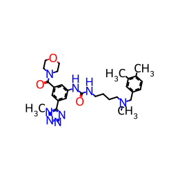 Cc1ccc(CN(C)CCCCNC(=O)Nc2cc(C(=O)N3CCOCC3)cc(-c3nnnn3C)c2)cc1C